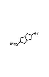 CSC1CC2CC(C(C)C)CC2C1